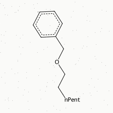 CCCCCCCOCc1cc[c]cc1